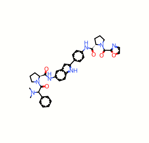 CN(C)C(C(=O)N1CCC[C@H]1C(=O)Nc1ccc2[nH]c(-c3ccc(NC(=O)[C@@H]4CCCN4C(=O)c4ncco4)cc3)cc2c1)c1ccccc1